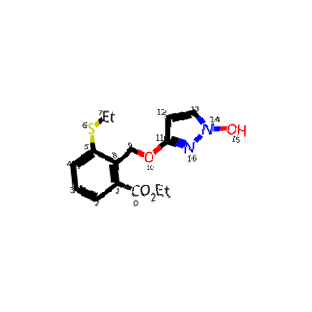 CCOC(=O)c1cccc(SCC)c1COc1ccn(O)n1